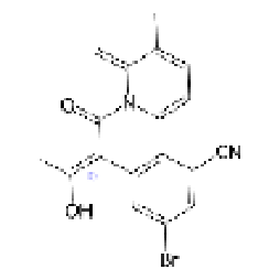 C=C1C(C)=CC=CN1C(=O)/C(=C(\C)O)c1cc(Br)cc(C#N)c1